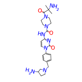 CC(C)(N)C(=O)N1CCN(C(=O)Nc2ccn(-c3ccc(CN4CCC(N)C4)cc3)c(=O)n2)CC1